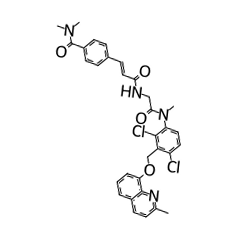 Cc1ccc2cccc(OCc3c(Cl)ccc(N(C)C(=O)CNC(=O)C=Cc4ccc(C(=O)N(C)C)cc4)c3Cl)c2n1